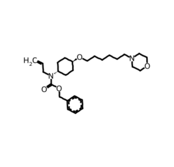 C=CCN(C(=O)OCc1ccccc1)[C@H]1CC[C@H](OCCCCCCN2CCOCC2)CC1